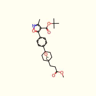 COC(=O)CCC12CCC(c3ccc(-c4onc(C)c4C(=O)OC(C)(C)C)cc3)(CC1)OC2